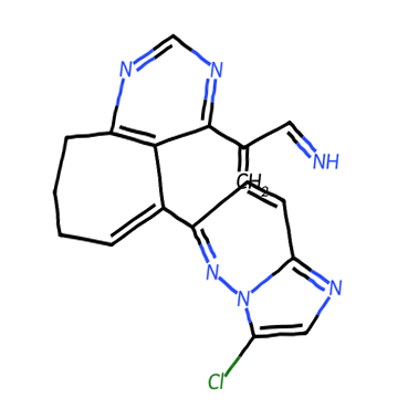 C=C(C=N)c1ncnc2c1C(c1ccc3ncc(Cl)n3n1)=CCCC2